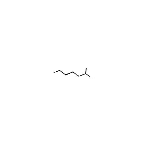 CCCCCC(O)[S]